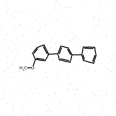 COc1[c]ccc(-c2ccc(-c3ccccc3)cc2)c1